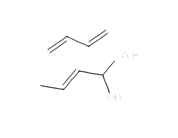 C=CC=C.CC=CC(O)C(=O)O